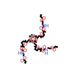 C=CC(=O)OCCNC(=O)OC(C)(C)C1CCC(C)(CC[Si]2(C)O[Si](C)(C)O[Si](C)(CCC3(C)CCC(C(C)(C)OC(=O)NCCOC(=O)C=C)O3)O[Si](C)(CCC3(C)CCC(C(C)(C)OC(=O)NCCOC(=O)C=C)O3)O2)O1